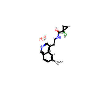 COc1ccc2cncc(CCNC(=O)C3(Cl)CC3)c2c1.O